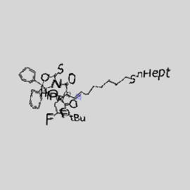 CCCCCCCSCCCCCC/C=C/[C@H](C(=O)N1C(=S)OC(c2ccccc2)(c2ccccc2)[C@@H]1C(C)C)[C@@](O)(CC(F)F)C(=O)OC(C)(C)C